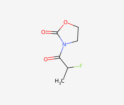 CC(F)C(=O)N1CCOC1=O